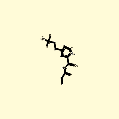 C=C(CC)NC(=O)c1cc(CCC(C)(C)O)ccn1